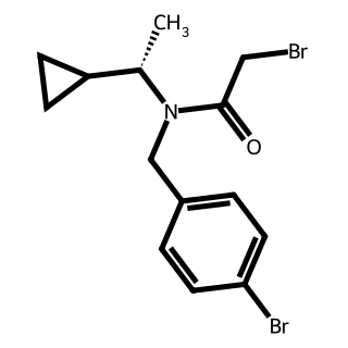 C[C@@H](C1CC1)N(Cc1ccc(Br)cc1)C(=O)CBr